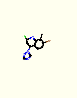 Cc1c(Br)ccc2c(-n3cncn3)cc(Cl)nc12